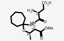 CCCC1(O[C@H](C)[C@H](NC(=O)[C@@H](N)CC(=O)O)C(=O)OC)CCCCCC1